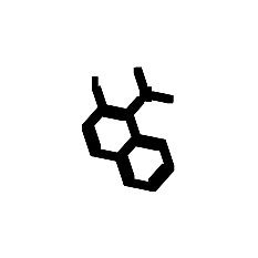 CN(C)c1c(I)ccc2ccccc12